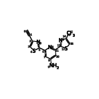 C#Cc1csc(-c2cc(N)cc(-c3nc(C(F)(F)F)cs3)n2)n1